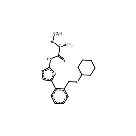 C[C@H](NC(=O)O)C(=O)Nc1ncc(-c2ccccc2COC2CCCCC2)s1